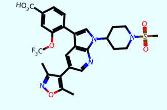 Cc1noc(C)c1-c1cnc2c(c1)c(-c1ccc(C(=O)O)cc1OC(F)(F)F)cn2C1CCN(S(C)(=O)=O)CC1